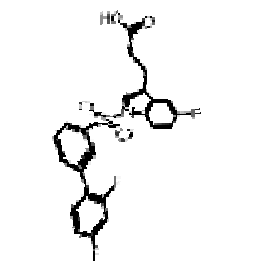 O=C(O)CCc1cn(S(=O)(=O)c2cccc(-c3ccc(F)cc3F)c2)c2ccc(F)cc12